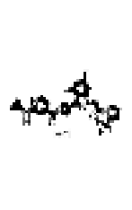 Cl.O=C(c1ccnc(NC2CC2)c1)N1CC(c2nn(CC(=O)N3CCC[C@H]3C(F)(F)F)c3cc(F)cc(F)c23)C1